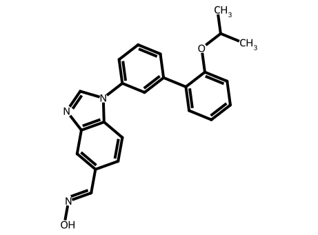 CC(C)Oc1ccccc1-c1cccc(-n2cnc3cc(C=NO)ccc32)c1